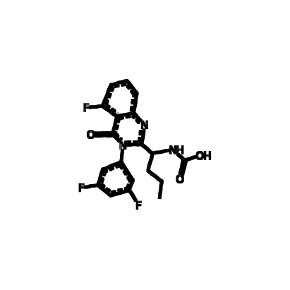 CCCC(NC(=O)O)c1nc2cccc(F)c2c(=O)n1-c1cc(F)cc(F)c1